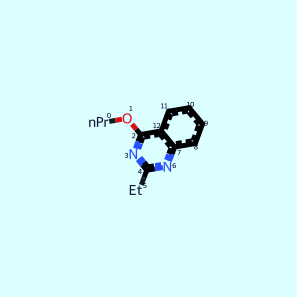 CCCOc1nc(CC)nc2ccccc12